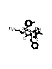 CCC(c1nc2onc(C)c2c(=O)n1Cc1ccccc1)N(CCCN)S(=O)(=O)c1cccc(C)c1